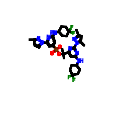 Cc1ccn(-c2cc(S(=O)(=O)OC(C)(C)c3cc(NC4CCC(F)(F)CC4)nc(-n4nc(C)cc4C)n3)cc(NC3CCC(F)(F)CC3)n2)n1